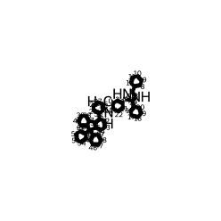 CC1C=C([C@@H]2NC(c3ccccc3)NC2c2ccccc2)C=CC1Nc1ccccc1-c1cccc2c1-c1ccccc1C2(c1ccccc1)c1ccccc1